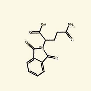 NC(=O)CCC(C(=O)O)[15N]1C(=O)c2ccccc2C1=O